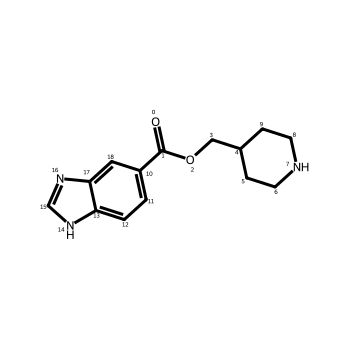 O=C(OCC1CCNCC1)c1ccc2[nH]cnc2c1